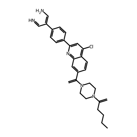 C=C(CCCC)N1CCN(C(=C)c2ccc3c(Cl)cc(-c4ccc(/C(C=N)=C/N)cc4)nc3c2)CC1